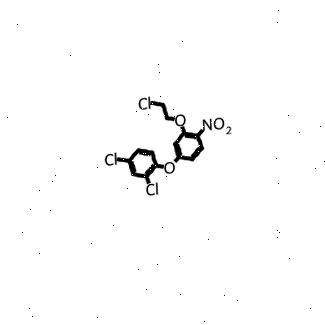 O=[N+]([O-])c1ccc(Oc2ccc(Cl)cc2Cl)cc1OCCCl